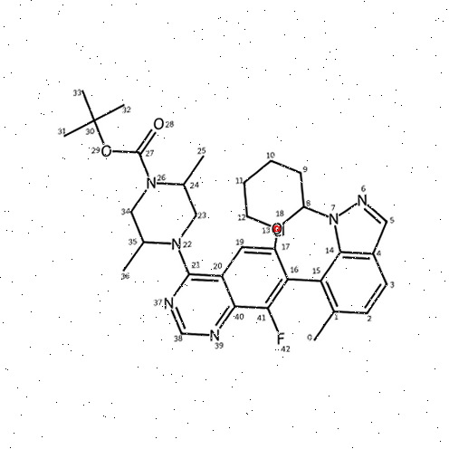 Cc1ccc2cnn(C3CCCCO3)c2c1-c1c(Cl)cc2c(N3CC(C)N(C(=O)OC(C)(C)C)CC3C)ncnc2c1F